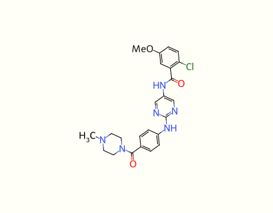 COc1ccc(Cl)c(C(=O)Nc2cnc(Nc3ccc(C(=O)N4CCN(C)CC4)cc3)nc2)c1